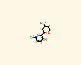 N#CC1CCOC(c2nc(Cl)ccc2Br)C1